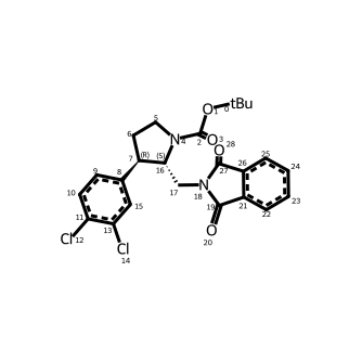 CC(C)(C)OC(=O)N1CC[C@H](c2ccc(Cl)c(Cl)c2)[C@H]1CN1C(=O)c2ccccc2C1=O